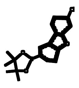 CC1(C)OB(c2ccc3oc4cc(Cl)ccc4c3c2)OC1(C)C